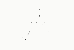 CC(C)(C)OC(=O)c1cc(C#C[Si](C)(C)C)ccc1C#C[Si](C)(C)C